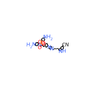 N#Cc1ccc2[nH]cc(CCCCN3CCN(c4ccc5oc(C(=O)N(c6ccc(N)cc6)S(=O)(=O)c6ccc(N)cc6)cc5c4)CC3)c2c1